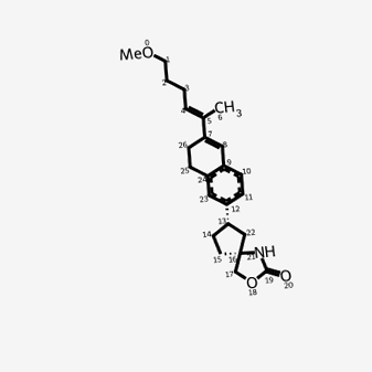 COCCC/C=C(\C)C1=Cc2ccc([C@H]3CC[C@]4(COC(=O)N4)C3)cc2CC1